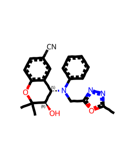 Cc1nnc(CN(c2ccccc2)[C@H]2c3cc(C#N)ccc3OC(C)(C)[C@@H]2O)o1